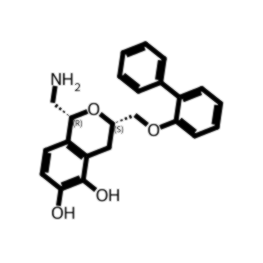 NC[C@@H]1O[C@H](COc2ccccc2-c2ccccc2)Cc2c1ccc(O)c2O